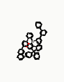 c1ccc(-c2cccc(-c3cccc(N(c4ccccc4-c4ccc(-c5ccc6ccccc6c5)cc4)c4cccc5c4-c4ccccc4C5(c4ccccc4)c4ccccc4)c3)c2)cc1